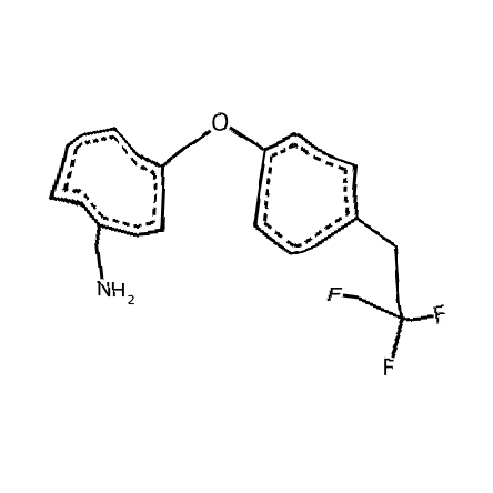 Nc1cccc(Oc2ccc(CC(F)(F)F)cc2)c1